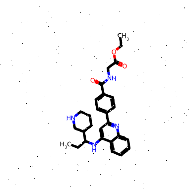 CCOC(=O)CNC(=O)c1ccc(-c2cc(NC(CC)C3CCCNC3)c3ccccc3n2)cc1